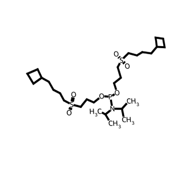 CC(C)N(C(C)C)P(OCCCS(=O)(=O)CCCCC1CCC1)OCCCS(=O)(=O)CCCCC1CCC1